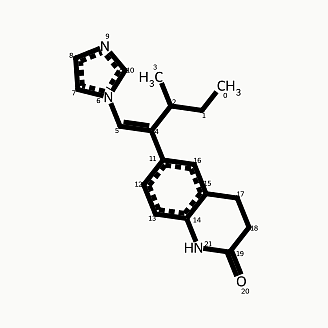 CCC(C)C(=Cn1ccnc1)c1ccc2c(c1)CCC(=O)N2